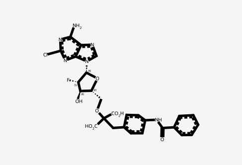 Nc1nc(Cl)nc2c1ncn2[C@@H]1O[C@H](COC(Cc2ccc(NC(=O)c3ccccc3)cc2)(C(=O)O)C(=O)O)[C@@H](O)[C@@H]1F